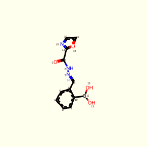 O=C(N/N=C/c1ccccc1B(O)O)c1ncco1